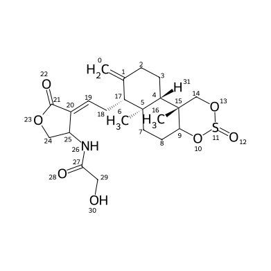 C=C1CC[C@H]2[C@@](C)(CCC3OS(=O)OC[C@]32C)[C@@H]1C/C=C1/C(=O)OCC1NC(=O)CO